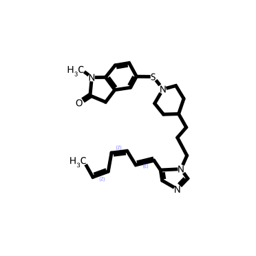 C\C=C/C=C\C=C\c1cncn1CCCC1CCN(Sc2ccc3c(c2)CC(=O)N3C)CC1